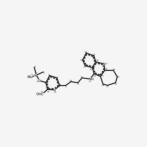 CC(C)(C)[Si](C)(C)Oc1ccc(CCCCNc2c3c(nc4ccccc24)CCCCC3)nc1C=O